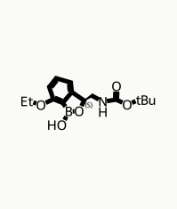 CCOc1cccc2c1B(O)O[C@@H]2CNC(=O)OC(C)(C)C